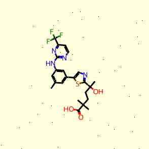 Cc1cc(Nc2nccc(C(F)(F)F)n2)cc(-c2cnc(C(C)(O)CCC(C)(C)C(=O)O)s2)c1